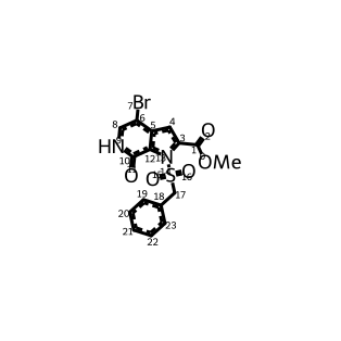 COC(=O)c1cc2c(Br)c[nH]c(=O)c2n1S(=O)(=O)Cc1ccccc1